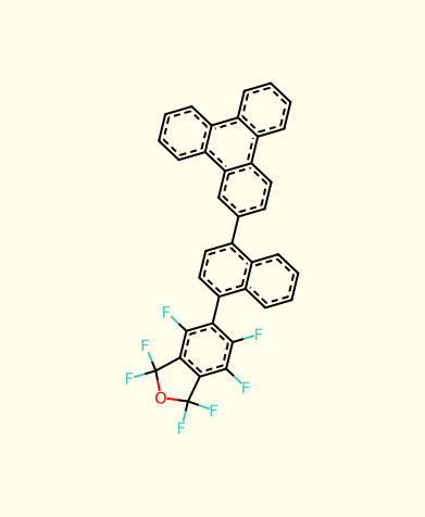 Fc1c(F)c2c(c(F)c1-c1ccc(-c3ccc4c5ccccc5c5ccccc5c4c3)c3ccccc13)C(F)(F)OC2(F)F